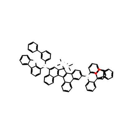 C[Si](C)(C)C1([Si](C)(C)C)c2cc(N(c3cccc(-c4ccccc4)c3)c3cccc4c3oc3ccccc34)c3ccccc3c2-c2c1c1ccc(N(c3ccccc3-c3ccccc3)c3cccc4c3oc3ccccc34)cc1c1ccccc21